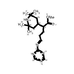 COC(=O)C(CCC=Nc1ncncn1)C1CC(C)(C)NC(C)(C)C1